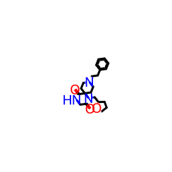 O=C1CNC(=O)C2(CCN(CCc3ccccc3)CC2)N1CC1CCCO1